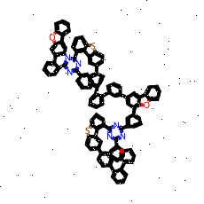 c1ccc(-c2nc(-c3cccc(-c4cc(-c5cccc(-c6ccccc6-c6ccc(-c7ccc8sc9cccc(-c%10nc(-c%11ccccc%11)nc(-c%11ccccc%11-c%11ccc%12c(c%11)oc%11ccccc%11%12)n%10)c9c8c7)cc6)c5)cc5c4oc4ccccc45)c3)nc(-c3cccc4sc5ccc(-c6ccc(-c7ccccc7-c7ccccc7)cc6)cc5c34)n2)cc1